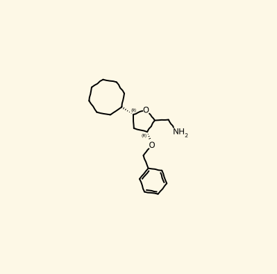 NCC1O[C@@H](C2CCCCCCC2)C[C@H]1OCc1ccccc1